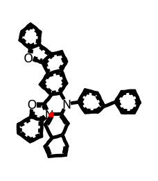 C1=CC2C=CC(N(c3ccc(-c4ccccc4)cc3)c3cc4ccc5c6ccccc6oc5c4cc3-c3nc4ccccc4o3)=CC2C=C1